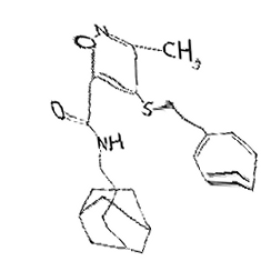 Cc1noc(C(=O)NCC23CC4CC(CC(C4)C2)C3)c1SCc1ccccc1